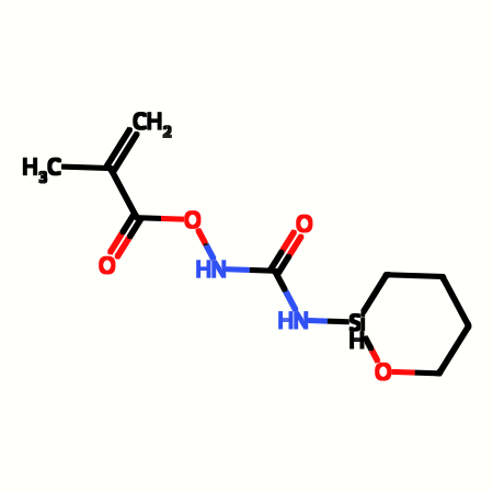 C=C(C)C(=O)ONC(=O)N[SiH]1CCCCO1